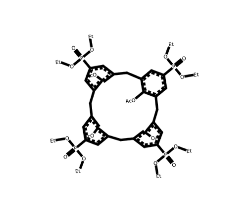 CCOP(=O)(OCC)c1cc2c(OC(C)=O)c(c1)Cc1cc(P(=O)(OCC)OCC)cc(c1OC(C)=O)Cc1cc(P(=O)(OCC)OCC)cc(c1OC(C)=O)Cc1cc(P(=O)(OCC)OCC)cc(c1OC(C)=O)C2